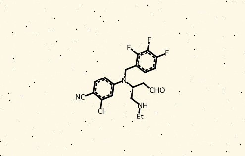 CCNC[C@H](CC=O)N(Cc1ccc(F)c(F)c1F)c1ccc(C#N)c(Cl)c1